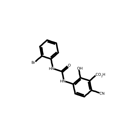 N#Cc1ccc(NC(=O)Nc2ccccc2Br)c(O)c1C(=O)O